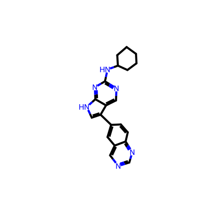 c1ncc2cc(-c3c[nH]c4nc(NC5CCCCC5)ncc34)ccc2n1